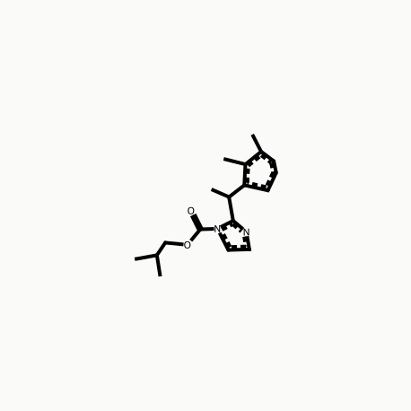 Cc1cccc(C(C)c2nccn2C(=O)OCC(C)C)c1C